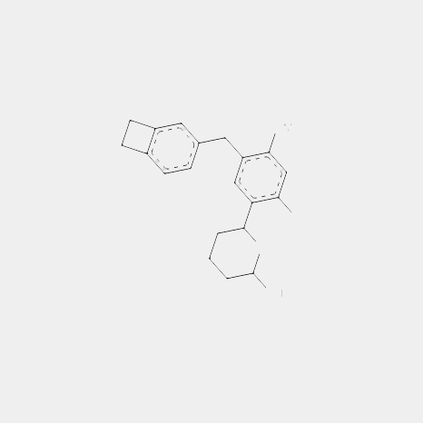 COc1cc(F)c(C2CCCC(C)O2)cc1Cc1ccc2c(c1)CC2